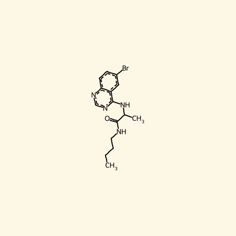 CCCCNC(=O)C(C)Nc1ncnc2ccc(Br)cc12